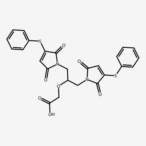 O=C(O)COC(CN1C(=O)C=C(Sc2ccccc2)C1=O)CN1C(=O)C=C(Sc2ccccc2)C1=O